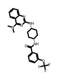 CN(C)c1nc(N[C@H]2CC[C@@H](NC(=O)c3cccc(OC(F)(F)F)c3)CC2)nc2ccccc12